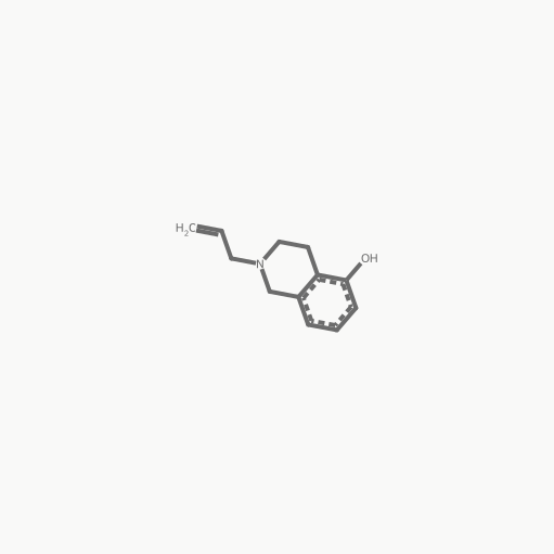 C=CCN1CCc2c(O)cccc2C1